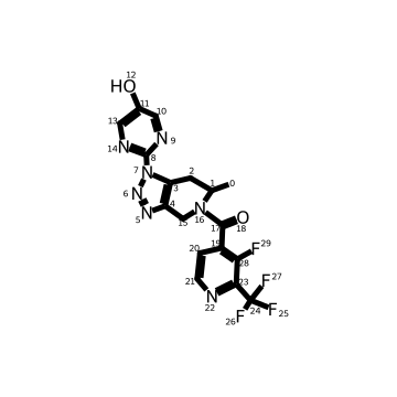 CC1Cc2c(nnn2-c2ncc(O)cn2)CN1C(=O)c1ccnc(C(F)(F)F)c1F